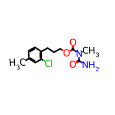 Cc1ccc(CCCOC(=O)N(C)C(N)=O)c(Cl)c1